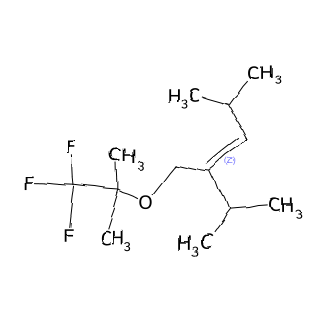 CC(C)/C=C(\COC(C)(C)C(F)(F)F)C(C)C